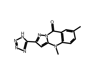 Cc1ccc2c(c1)c(=O)n1nc(-c3nnn[nH]3)cc1n2C